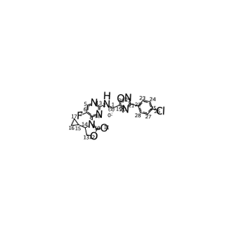 C[C@H](Nc1ncc(F)c(N2C(=O)OCC2C2CC2)n1)c1nc(-c2ccc(Cl)cc2)no1